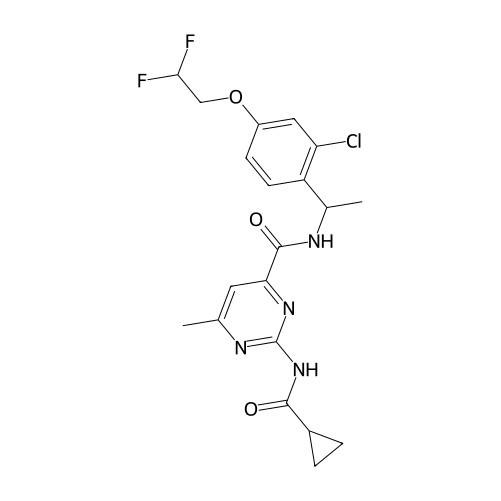 Cc1cc(C(=O)NC(C)c2ccc(OCC(F)F)cc2Cl)nc(NC(=O)C2CC2)n1